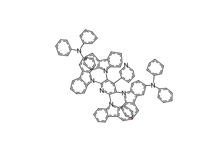 c1ccc(N(c2ccccc2)c2ccc3c(c2)c2ccccc2n3-c2nc(-n3c4ccccc4c4ccccc43)c(-n3c4ccccc4c4cc(N(c5ccccc5)c5ccccc5)ccc43)c(-c3cccnc3)c2-n2c3ccccc3c3ccccc32)cc1